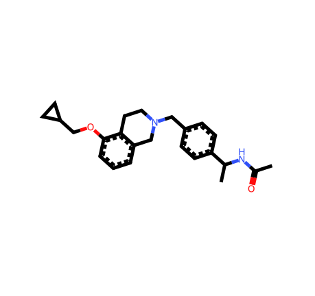 CC(=O)NC(C)c1ccc(CN2CCc3c(cccc3OCC3CC3)C2)cc1